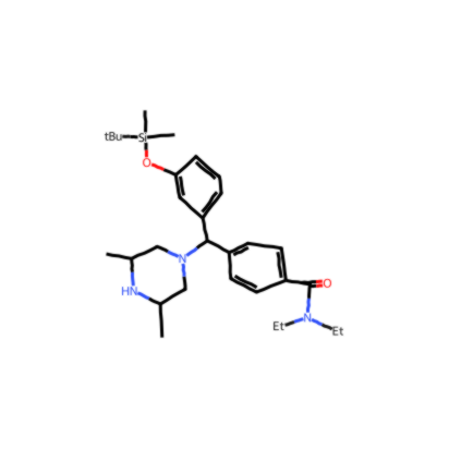 CCN(CC)C(=O)c1ccc(C(c2cccc(O[Si](C)(C)C(C)(C)C)c2)N2CC(C)NC(C)C2)cc1